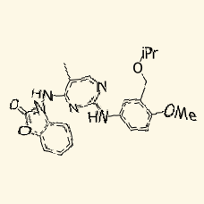 COc1ccc(Nc2ncc(C)c(Nn3c(=O)oc4ccccc43)n2)cc1COC(C)C